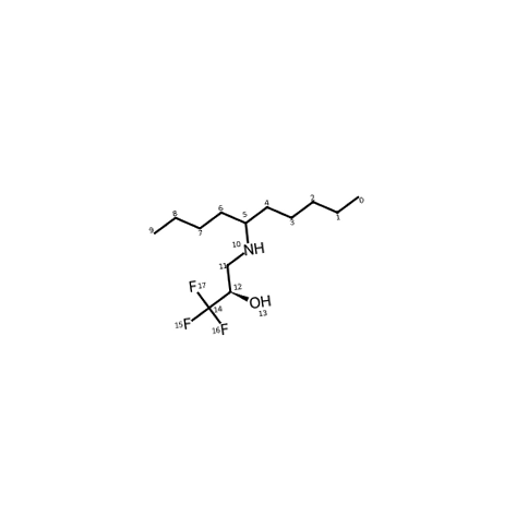 CCCCCC(CCCC)NC[C@@H](O)C(F)(F)F